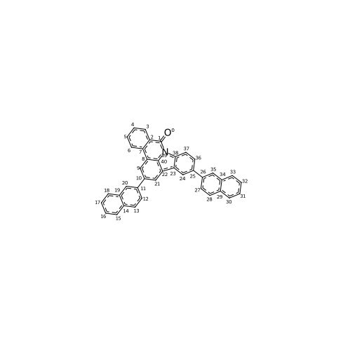 O=c1c2ccccc2c2cc(-c3ccc4ccccc4c3)cc3c4cc(-c5ccc6ccccc6c5)ccc4n1c23